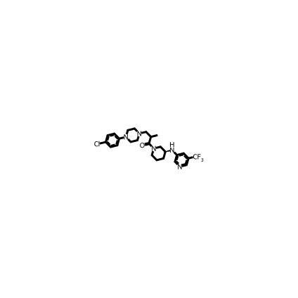 CC(CN1CCN(c2ccc(Cl)cc2)CC1)C(=O)N1CCC[C@H](Nc2cncc(C(F)(F)F)c2)C1